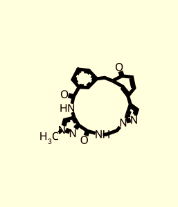 Cn1cc2c(n1)C(=O)NCCn1cc(cn1)C1=CC(Cc3cccc(c3)C(=O)N2)C(=O)C=C1